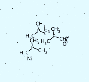 CP(C)C.CP(C)C.CP(C)C.[C]=O.[Ni]